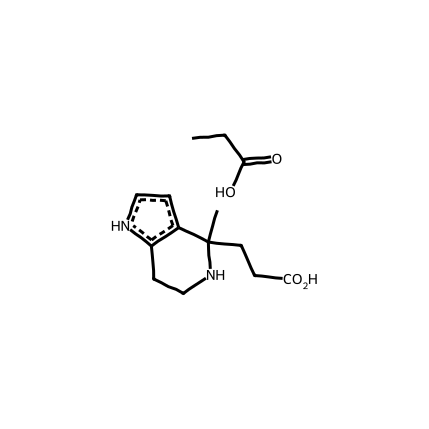 CC1(CCC(=O)O)NCCc2[nH]ccc21.CCC(=O)O